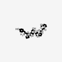 N[C@@H](Cc1ccc(O)cc1)C(=O)N1CCC[C@H]1C(=O)N[C@@H](CC(=O)O)C(=O)N[C@@H](CS)C(=O)N1CCC[C@H]1C(=O)NCC(=O)N1CCC[C@H]1C(=O)O